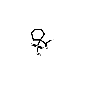 CS(=O)(=O)C1(C(=O)O)CCCCC1